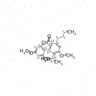 CCCCc1cc(OC)c(C(C)C)c(-c2c(C)cc(OC)cc2C)c1C=O